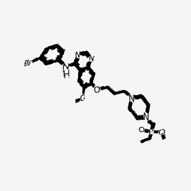 CCP(=O)(CN1CCN(CCCOc2cc3ncnc(Nc4cccc(Br)c4)c3cc2OC)CC1)OC